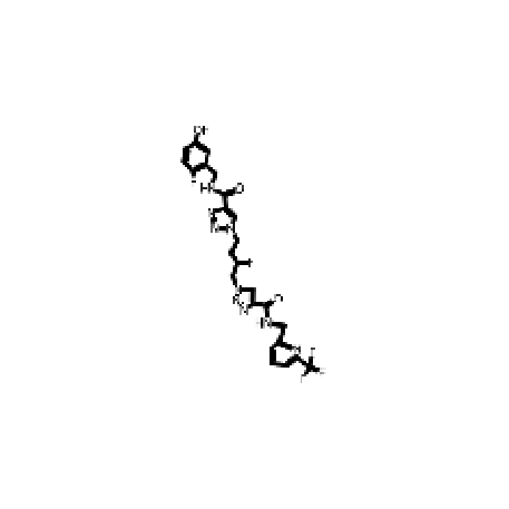 O=C(NCc1cc(O)ccc1F)c1cn(CCC(F)Cn2cc(C(=O)NCc3cccc(C(F)(F)F)n3)nn2)nn1